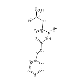 CC(C)[C@H](NC(=O)OCc1ccccc1)C(=O)O[C@H](C(=O)O)C(C)C